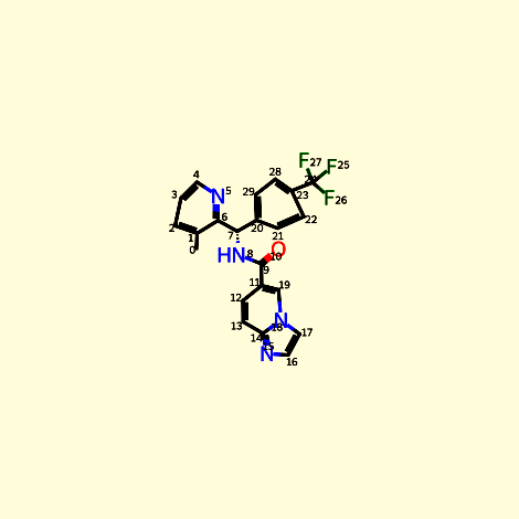 Cc1cccnc1[C@@H](NC(=O)c1ccc2nccn2c1)c1ccc(C(F)(F)F)cc1